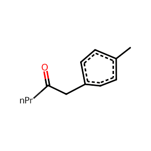 CCCC(=O)Cc1ccc(C)cc1